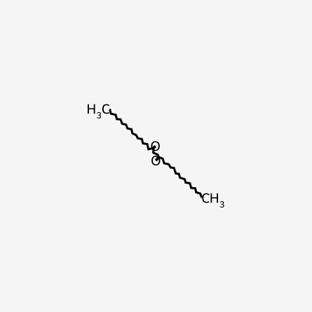 CCCCCCCCCCCCCCCCCC(=O)CCC(=O)CCCCCCCCCCCCCCCCC